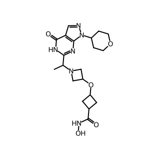 CC(c1nc2c(cnn2C2CCOCC2)c(=O)[nH]1)N1CC(OC2CC(C(=O)NO)C2)C1